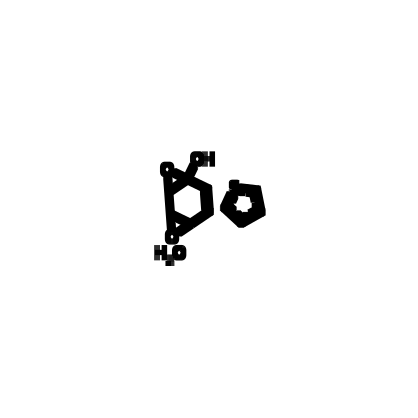 O.OC12C=CC3OC3C1O2.c1ccsc1